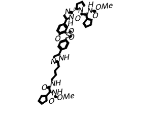 COC(=O)N[C@H](C(=O)NCCCCC1=NCC(c2ccc3c(c2)Oc2ccc(C4CN=C([C@@H]5CCCN5C(=O)[C@@H](NC(=O)OC)C5CCCC5)N4)cc2S3(=O)=O)N1)C1CCCC1